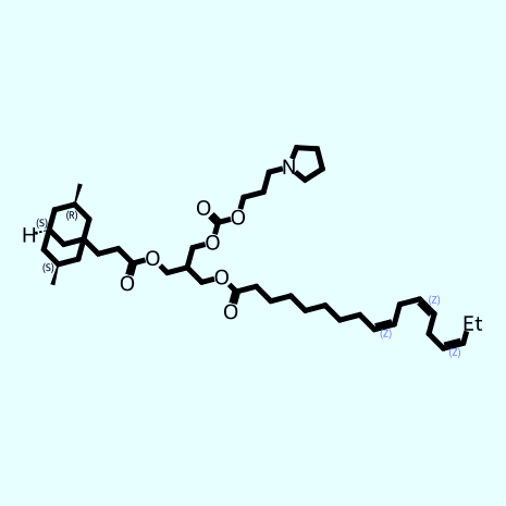 CC/C=C\C/C=C\C/C=C\CCCCCCCC(=O)OCC(COC(=O)CCC12C[C@H](C)C[C@H](C[C@H](C)C1)C2)COC(=O)OCCCN1CCCC1